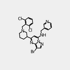 Clc1cccc(Cl)c1CN1CCCC(c2cc(NCc3cccnc3)n3ncc(Br)c3n2)C1